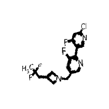 CC(F)(F)CC1CN(Cc2cnc(-c3cnc(Cl)cc3F)c(F)c2)C1